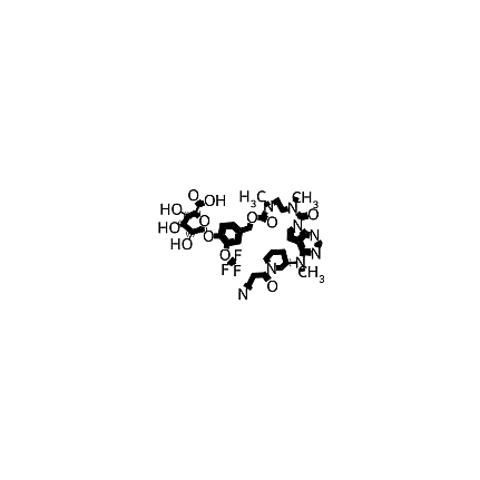 CN(CCN(C)C(=O)n1ccc2c(N(C)[C@@H]3CCCN(C(=O)CC#N)C3)ncnc21)C(=O)OCc1ccc(O[C@@H]2O[C@H](C(=O)O)[C@@H](O)[C@H](O)[C@H]2O)c(OC(F)(F)F)c1